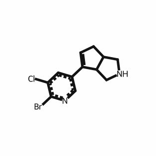 Clc1cc(C2=CCC3CNCC23)cnc1Br